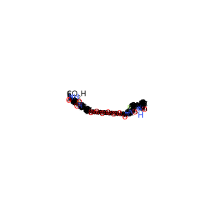 O=C(O)CNC(=O)c1ccc(S(=O)(=O)N2CCC(c3ccc(OCCOCCOCCOCCOCCOCCC(=O)N4CCN(C(=O)c5cc(Cc6n[nH]c(=O)c7ccccc67)ccc5F)CC4)cc3)CC2)cc1